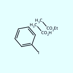 CC(=O)O.CCOC(C)=O.Ic1ccccc1